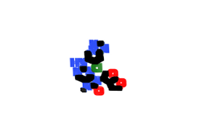 Cn1c(=O)n(C2COC3OCCC32)c2nc(Nc3cn4ncnc4cc3Cl)ncc21